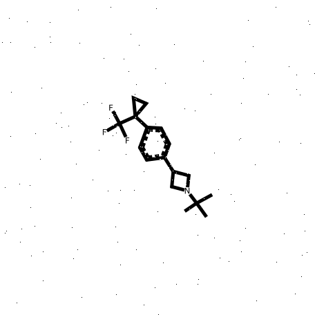 CC(C)(C)N1CC(c2ccc(C3(C(F)(F)F)CC3)cc2)C1